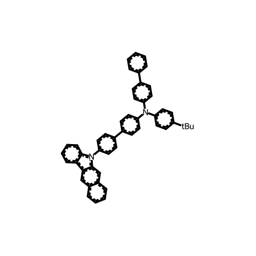 CC(C)(C)c1ccc(N(c2ccc(-c3ccccc3)cc2)c2ccc(-c3ccc(-n4c5ccccc5c5cc6ccccc6cc54)cc3)cc2)cc1